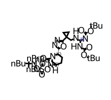 CCCCN(OS(=O)(=O)ON1C(=O)N2C[C@@H]1CC[C@H]2c1nnc(C2(CN/C(=N\C(=O)OC(C)(C)C)NC(=O)OC(C)(C)C)CC2)o1)C(CCC)(CCCC)CCCC